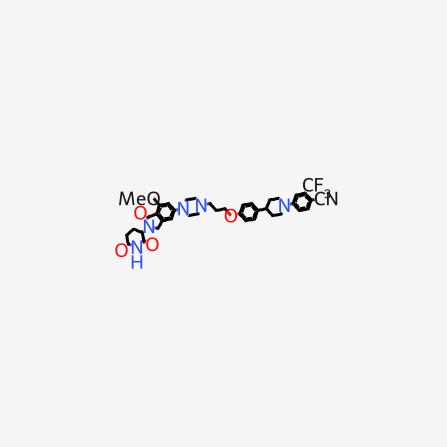 COc1cc(N2CCN(CCCOc3ccc(C4CCN(c5ccc(C#N)c(C(F)(F)F)c5)CC4)cc3)CC2)cc2c1C(=O)N(C1CCC(=O)NC1=O)C2